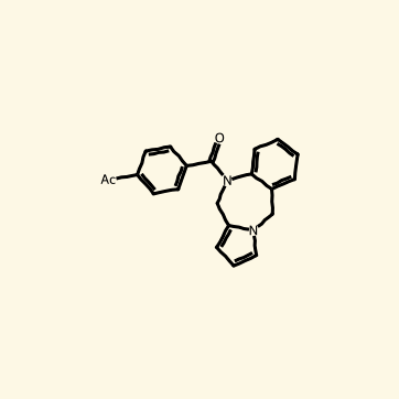 CC(=O)c1ccc(C(=O)N2Cc3cccn3Cc3ccccc32)cc1